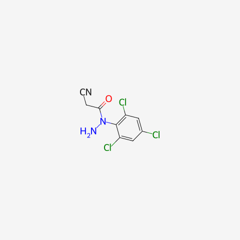 N#CCC(=O)N(N)c1c(Cl)cc(Cl)cc1Cl